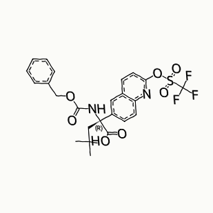 CC(C)(C)C[C@](NC(=O)OCc1ccccc1)(C(=O)O)c1ccc2nc(OS(=O)(=O)C(F)(F)F)ccc2c1